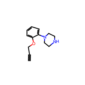 C#CCOc1ccccc1N1CCNCC1